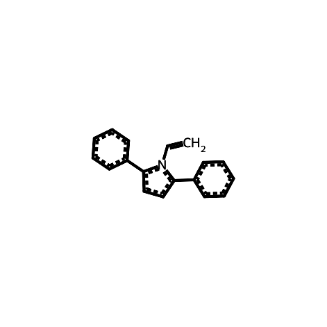 C=Cn1c(-c2ccccc2)ccc1-c1ccccc1